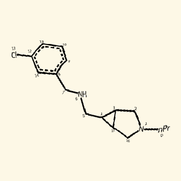 CCCN1CC2C(CNCc3cccc(Cl)c3)C2C1